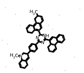 CC1C=Cc2cc(C3N=C(c4ccc(C5C=C6CCC=CC6N(C)C5)cc4)N=C(C4=Cc5ccccc5C5C=CCCC45)N3)c3c(c2C1)C=CCC3